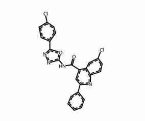 O=C(Nc1nnc(-c2ccc(Cl)cc2)o1)c1cc(-c2ccccc2)nc2ccc(Cl)cc12